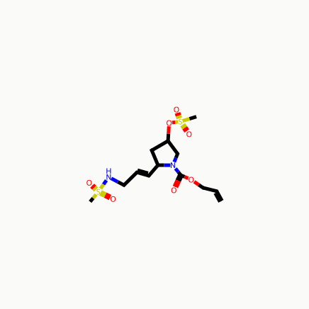 C=CCOC(=O)N1CC(OS(C)(=O)=O)CC1C=CCNS(C)(=O)=O